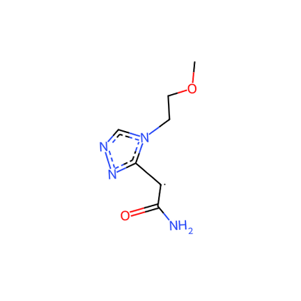 COCCn1cnnc1[CH]C(N)=O